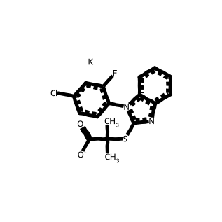 CC(C)(Sc1nc2ccccc2n1-c1ccc(Cl)cc1F)C(=O)[O-].[K+]